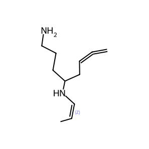 C=C=CCC(CCCN)N/C=C\C